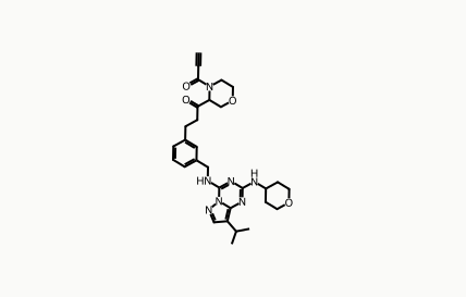 C#CC(=O)N1CCOCC1C(=O)CCc1cccc(CNc2nc(NC3CCOCC3)nc3c(C(C)C)cnn23)c1